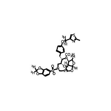 [2H]C1O[C@@]2([2H])OCC[C@H]2[C@H]1N(C(=O)O)[C@@H](Cc1ccc(OC([2H])([2H])c2csc(C)n2)cc1)[C@H](O)CN(CC(C)C)S(=O)(=O)c1ccc2c(c1)OC([2H])([2H])O2